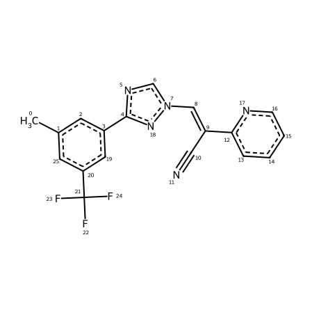 Cc1cc(-c2ncn(C=C(C#N)c3ccccn3)n2)cc(C(F)(F)F)c1